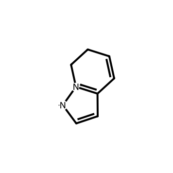 C1=CC2=[N+](CC1)[N]C=C2